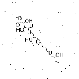 CCC(O)COCCCCOCC(O)COC(=O)C(O)C(O)C(=O)OC